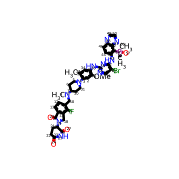 COc1cc(N2CCC(N(C)Cc3ccc4c(c3F)CN(C3CCC(=O)NC3=O)C4=O)CC2)c(C)cc1Nc1ncc(Br)c(Nc2ccc3nccnc3c2P(C)(C)=O)n1